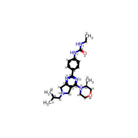 CCNC(=O)Nc1ccc(-c2nc3c(c(N4CCOC[C@@H]4C)n2)CN(CC(C)C)C3)cc1